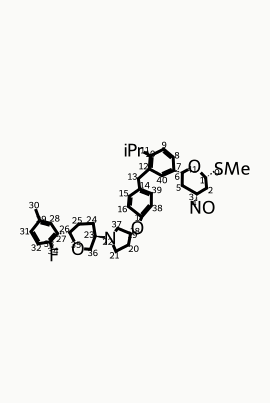 CS[C@@H]1C[C@H](N=O)C[C@H](c2ccc(C(C)C)c(Cc3ccc(O[C@@H]4CCN([C@@H]5CC[C@@H](c6cc(C)ccc6F)OC5)C4)cc3)c2)O1